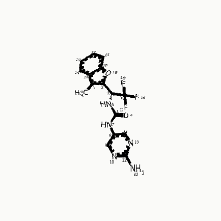 Cc1c([C@@H](NC(=O)Nc2cnc(N)nc2)C(F)(F)F)oc2ccccc12